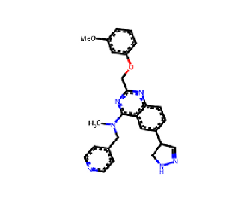 COc1cccc(OCc2nc(N(C)Cc3ccncc3)c3cc(C4C=NNC4)ccc3n2)c1